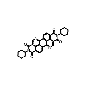 O=C1c2ccc3c4ncc5c6c(ccc(c7ncc(c2c37)C(=O)N1C1CCCCC1)c64)C(=O)N(C1CCCCC1)C5=O